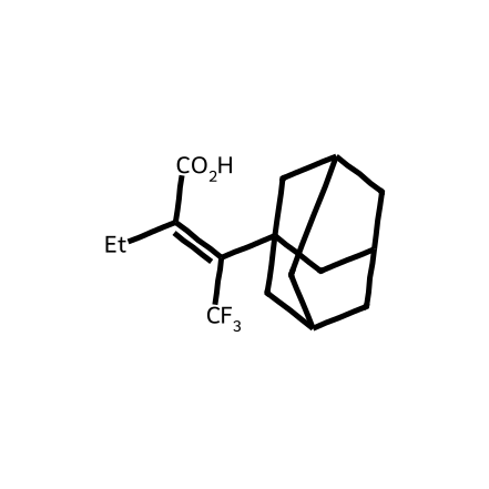 CC/C(C(=O)O)=C(\C(F)(F)F)C12CC3CC(CC(C3)C1)C2